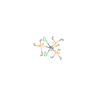 C[PH](C)(C)[Ru]([Cl])([Cl])([PH](C)(C)C)[PH](C)(C)C